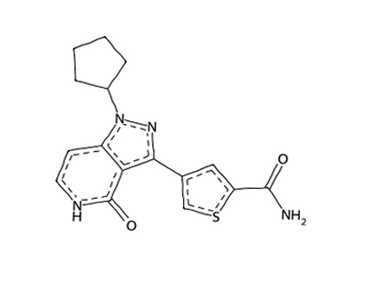 NC(=O)c1cc(-c2nn(C3CCCC3)c3cc[nH]c(=O)c23)cs1